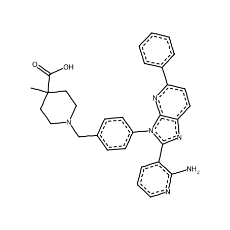 CC1(C(=O)O)CCN(Cc2ccc(-n3c(-c4cccnc4N)nc4ccc(-c5ccccc5)nc43)cc2)CC1